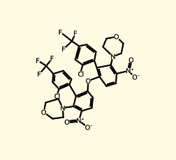 O=[N+]([O-])c1ccc(Oc2ccc([N+](=O)[O-])c(N3CCOCC3)c2-c2ccc(C(F)(F)F)cc2Cl)c(-c2ccc(C(F)(F)F)cc2Cl)c1N1CCOCC1